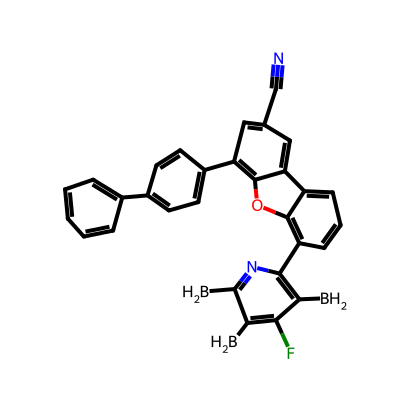 Bc1nc(-c2cccc3c2oc2c(-c4ccc(-c5ccccc5)cc4)cc(C#N)cc23)c(B)c(F)c1B